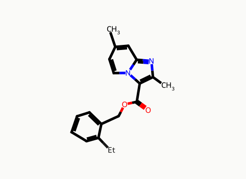 CCc1ccccc1COC(=O)c1c(C)nc2cc(C)ccn12